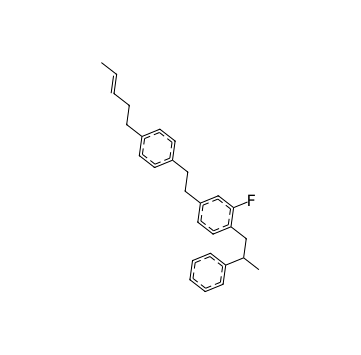 C/C=C/CCc1ccc(CCc2ccc(CC(C)c3ccccc3)c(F)c2)cc1